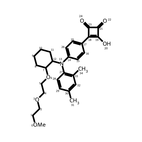 COCCOCCOC1CCCCC1N(c1ccc(-c2c(O)c(=O)c2=O)cc1)c1ccc(C)cc1C